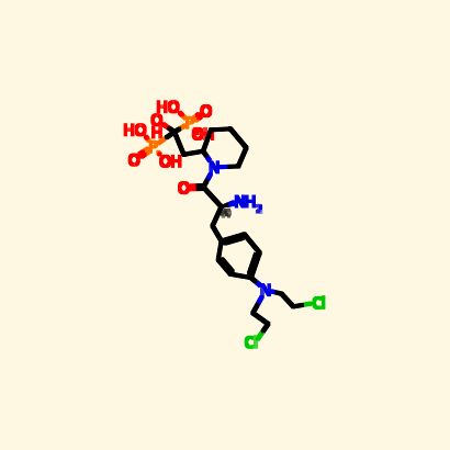 N[C@@H](Cc1ccc(N(CCCl)CCCl)cc1)C(=O)N1CCCCC1CC(O)(P(=O)(O)O)P(=O)(O)O